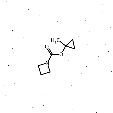 CC1(OC(=O)N2CCC2)CC1